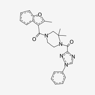 Cc1oc2ccccc2c1C(=O)N1CCN(C(=O)c2ncn(-c3ccccc3)n2)C(C)(C)C1